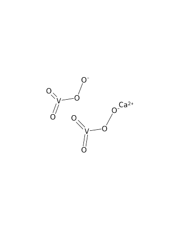 [Ca+2].[O]=[V](=[O])[O][O-].[O]=[V](=[O])[O][O-]